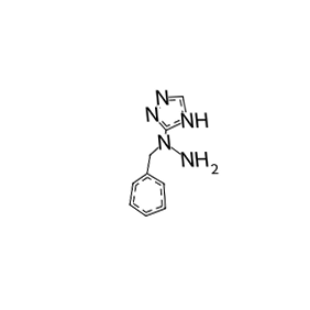 NN(Cc1ccccc1)c1nnc[nH]1